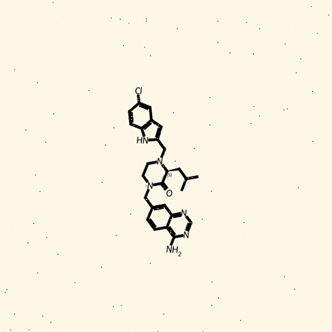 CC(C)C[C@H]1C(=O)N(Cc2ccc3c(N)ncnc3c2)CCN1Cc1cc2cc(Cl)ccc2[nH]1